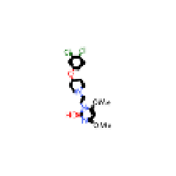 COC1=CC(OC)=NC(O)N1CCN1CCC(Oc2ccc(Cl)c(Cl)c2)CC1